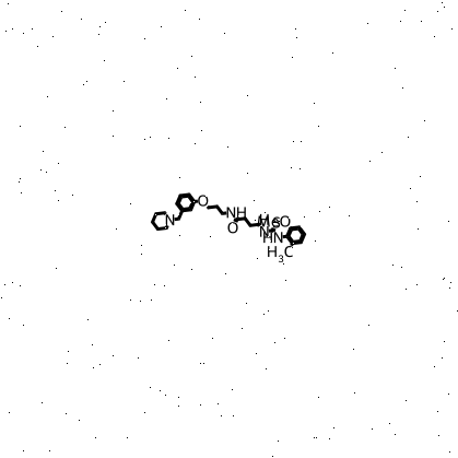 COc1cccc(C)c1NC(=S)NCCCC(=O)NCCCOc1cccc(CN2CCCCC2)c1